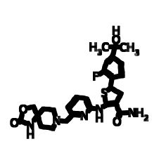 CC(C)(O)c1ccc(C2CC(C(N)=O)=C(Nc3cccc(CN4CCC5(CC4)COC(=O)N5)n3)S2)c(F)c1